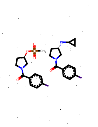 CS(=O)(=O)O[C@@H]1CCN(C(=O)c2ccc(I)cc2)C1.O=C(c1ccc(I)cc1)N1CC[C@H](NC2CC2)C1